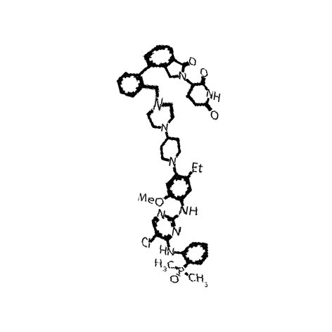 CCc1cc(Nc2ncc(Cl)c(Nc3ccccc3P(C)(C)=O)n2)c(OC)cc1N1CCC(N2CCN(Cc3ccccc3-c3cccc4c3CN(C3CCC(=O)NC3=O)C4=O)CC2)CC1